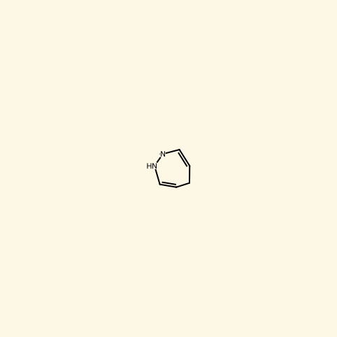 C1=C[N]NC=CC1